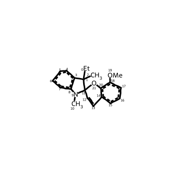 CCC1(C)c2ccccc2N(C)C12C=Cc1cccc(OC)c1O2